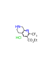 CCOC(=O)c1cc2c(nc1C(F)(F)F)CNCC2.Cl